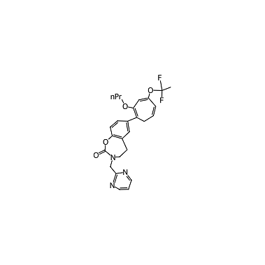 CCCOC1=C(c2ccc3c(c2)CCN(Cc2ncccn2)C(=O)O3)CC=CC(OC(C)(F)F)=C1